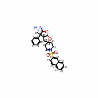 C[C@](C(N)=O)(c1ccccc1)C1COC2(CCN(S(=O)(=O)c3ccc4ccccc4c3)CC2)C1